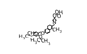 CC1=C(CN2CC(OC(=O)O)C2)CCc2cc(OCc3ccc(CC(C)C)cc3OC(C)C)ccc21